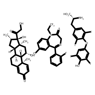 C[C@H]1C[C@H]2[C@@H]3CCC4=CC(=O)C=C[C@]4(C)[C@@]3(Cl)[C@@H](O)C[C@]2(C)[C@@]1(O)C(=O)CO.Fc1ccccc1C1=NCC(=S)N(CC(F)(F)F)c2ccc(Cl)cc21.N[C@H](Cc1cc(I)c(Oc2cc(I)c(O)c(I)c2)c(I)c1)C(=O)O